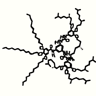 CCCCCCCCCCCCOc1cc(C(=O)Nc2cc(NC(=O)Nc3cc(OCC[C@H](C)CCCC(C)C)c(OCC[C@H](C)CCCC(C)C)c(OCC[C@H](C)CCCC(C)C)c3)cc(NC(=O)Nc3cc(OCC[C@H](C)CCCC(C)C)c(OCC[C@H](C)CCCC(C)C)c(OCC[C@H](C)CCCC(C)C)c3)c2)cc(OCCCCCCCCCCCC)c1OCCCCCCCCCCCC